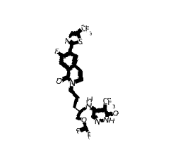 O=c1[nH]ncc(N[C@H](CCCn2ccc3cc(-c4ncc(C(F)(F)F)s4)c(F)cc3c2=O)COC(F)F)c1C(F)(F)F